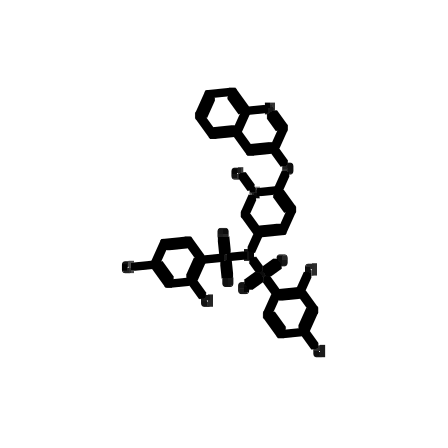 O=S(=O)(c1ccc(Cl)cc1Cl)N(C1=CC=C(Oc2cnc3ccccc3c2)N(Cl)C1)S(=O)(=O)c1ccc(Cl)cc1Cl